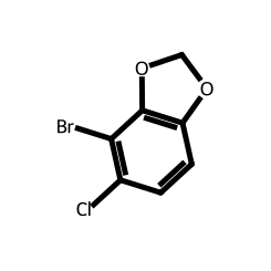 Clc1ccc2c(c1Br)OCO2